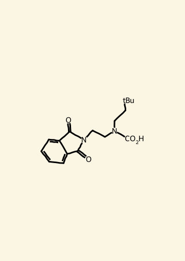 CC(C)(C)CCN(CCN1C(=O)c2ccccc2C1=O)C(=O)O